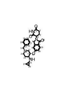 O=C1CCC(N2Cc3cc(O[C@H]4CN(Cc5ccccc5)CC[C@@H]4NC4CC4)ccc3C2=O)C(=O)N1